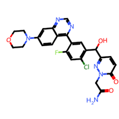 NC(=O)Cn1nc(C(O)c2cc(-c3ncnc4cc(N5CCOCC5)ccc34)c(F)cc2Cl)ccc1=O